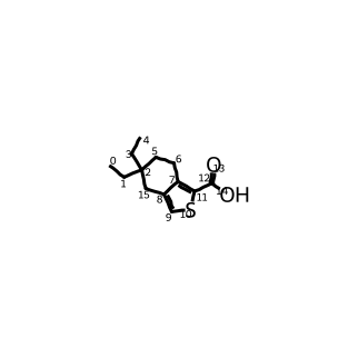 CCC1(CC)CCc2c(csc2C(=O)O)C1